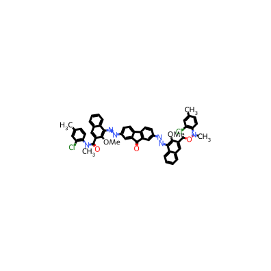 COc1c(CON(C)c2ccc(C)cc2Cl)cc2ccccc2c1N=Nc1ccc2c(c1)C(=O)c1cc(N=Nc3c(OC)c(C(=O)N(C)c4ccc(C)cc4Cl)cc4ccccc34)ccc1-2